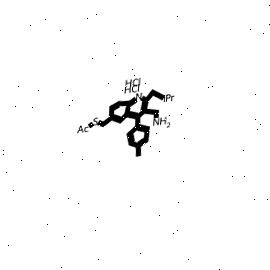 CC(=O)SCc1ccc2nc(CC(C)C)c(CN)c(-c3ccc(C)cc3)c2c1.Cl.Cl